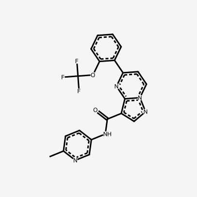 Cc1ccc(NC(=O)c2cnn3ccc(-c4ccccc4OC(F)(F)F)nc23)cn1